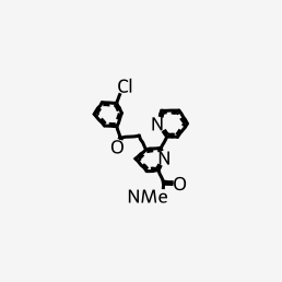 CNC(=O)c1ccc(CC(=O)c2cccc(Cl)c2)c(-c2ccccn2)n1